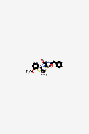 O=C(Cc1ccccc1)N[C@@H]1C(=O)N2CC(Sc3ccccc3OC(F)(F)F)(C(=O)O)CS[C@H]12